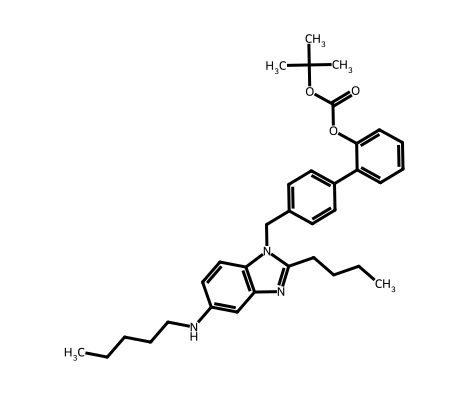 CCCCCNc1ccc2c(c1)nc(CCCC)n2Cc1ccc(-c2ccccc2OC(=O)OC(C)(C)C)cc1